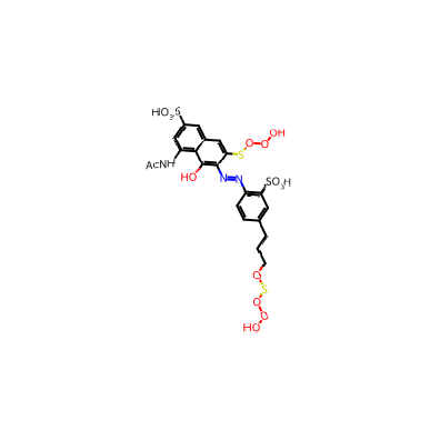 CC(=O)Nc1cc(S(=O)(=O)O)cc2cc(SOOO)c(/N=N/c3ccc(CCCOSOOO)cc3S(=O)(=O)O)c(O)c12